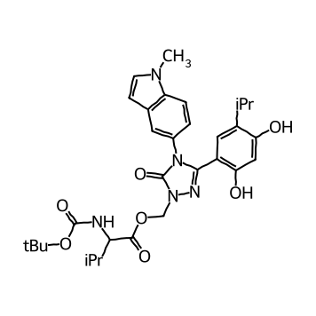 CC(C)c1cc(-c2nn(COC(=O)C(NC(=O)OC(C)(C)C)C(C)C)c(=O)n2-c2ccc3c(ccn3C)c2)c(O)cc1O